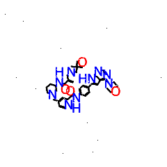 C=C(CN1CC2(COC2)C1)C(=O)N[C@@H]1CCCN(Cc2ccnc(C(=O)Nc3ccc(-c4cc5c(N6CCOCC6)ncnc5[nH]4)cc3)c2)C1